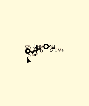 COCC(=O)NC1CCC(NC(=O)c2c(C)[nH]c3c(-c4cc(C(F)(F)F)ccc4OCC4CC4)ncnc23)CC1